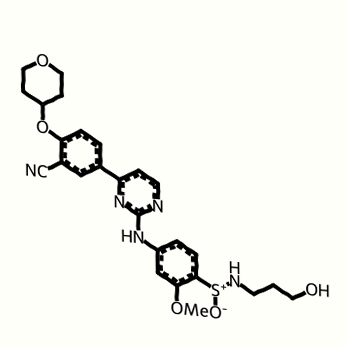 COc1cc(Nc2nccc(-c3ccc(OC4CCOCC4)c(C#N)c3)n2)ccc1[S+]([O-])NCCCO